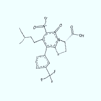 CC(C)CCc1c(-c2cccc(C(F)(F)F)c2)c2n(c(=O)c1[N+](=O)[O-])[C@H](C(=O)O)CS2